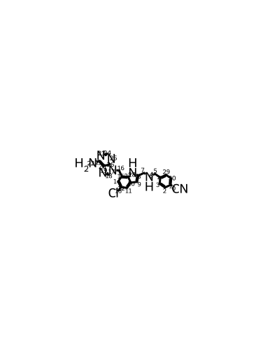 N#Cc1ccc(CNCc2cc3cc(Cl)cc(Cn4cnc5c(N)ncnc54)c3[nH]2)cc1